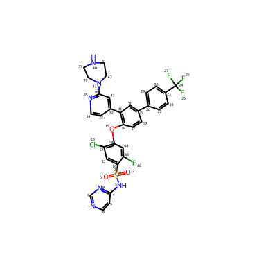 O=S(=O)(Nc1ccncn1)c1cc(Cl)c(Oc2ccc(-c3ccc(C(F)(F)F)cc3)cc2-c2ccnc(N3CCNCC3)c2)cc1F